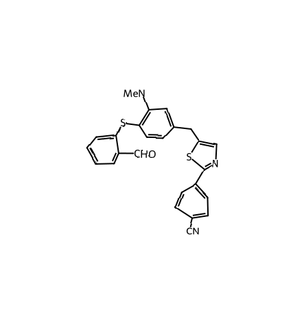 CNc1cc(Cc2cnc(-c3ccc(C#N)cc3)s2)ccc1Sc1ccccc1C=O